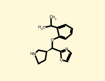 CC(C)c1ccccc1OC(c1ncco1)[C@H]1CCNC1